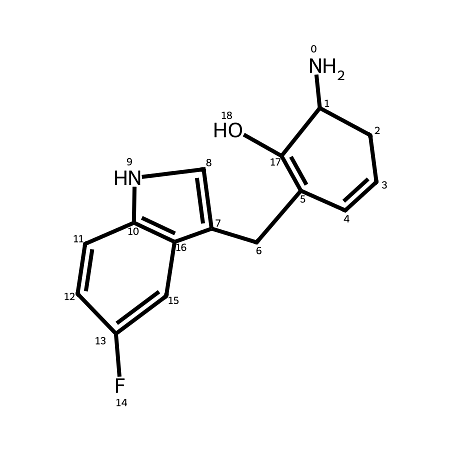 NC1CC=CC(Cc2c[nH]c3ccc(F)cc23)=C1O